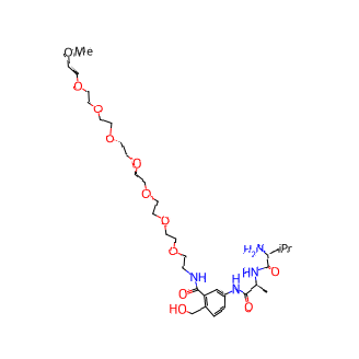 COCCOCCOCCOCCOCCOCCOCCOCCNC(=O)c1cc(NC(=O)[C@H](C)NC(=O)[C@@H](N)C(C)C)ccc1CO